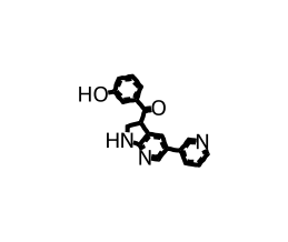 O=C(c1cccc(O)c1)C1CNc2ncc(-c3cccnc3)cc21